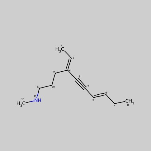 C/C=C(/C#C/C=C/CC)CCCNC